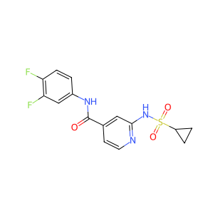 O=C(Nc1ccc(F)c(F)c1)c1ccnc(NS(=O)(=O)C2CC2)c1